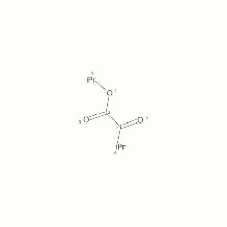 CC(C)OC(=O)C(=O)C(C)C